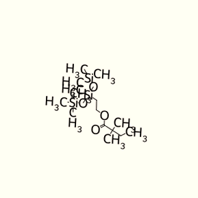 CCC(C)(C)C(=O)OCC[Si](C)(O[Si](C)(C)C)O[Si](C)(C)C